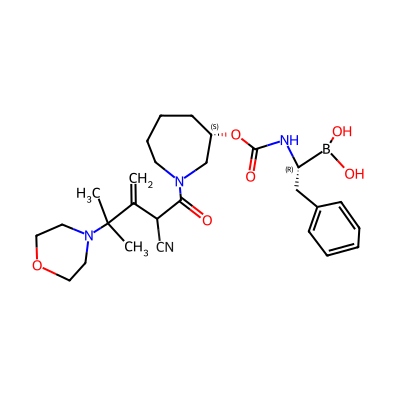 C=C(C(C#N)C(=O)N1CCCC[C@H](OC(=O)N[C@@H](Cc2ccccc2)B(O)O)C1)C(C)(C)N1CCOCC1